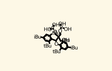 CCC(C)c1cc(C(C)(C)C)c(OC(c2c(C(C)(C)C)cc(C(C)CC)cc2C(C)(C)C)C(CO)(COP(O)O)COP(O)O)c(C(C)(C)C)c1